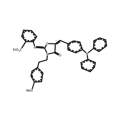 CCOC(=O)c1ccccc1N=C1O/C(=C/c2ccc(N(c3ccccc3)c3ccccc3)cc2)C(=O)N1CCc1ccc(OC)cc1